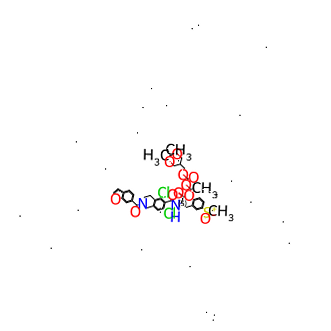 CC(OC(=O)OCC1COC(C)(C)OC1)OC(=O)[C@H](Cc1cccc([S+](C)[O-])c1)NC(=O)c1c(Cl)cc2c(c1Cl)CCN(C(=O)c1ccc3ccoc3c1)C2